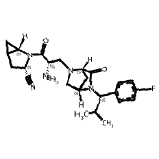 CC(C)[C@H](c1ccc(F)cc1)N1C(=O)[C@@H]2C[C@H]1CN2C[C@H](N)C(=O)N1[C@H](C#N)CC2C[C@@H]21